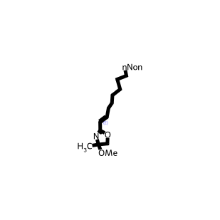 CCCCCCCCCCCCCCC/C=C/C1=NC(C)(OC)CO1